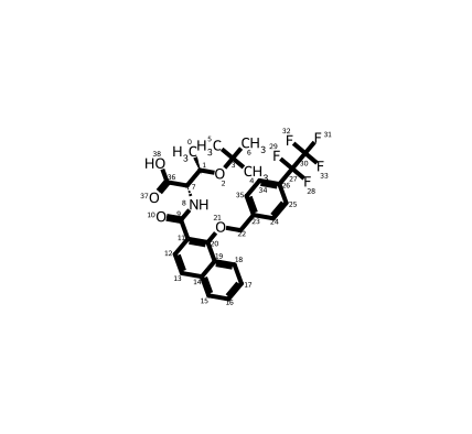 C[C@@H](OC(C)(C)C)[C@H](NC(=O)c1ccc2ccccc2c1OCc1ccc(C(F)(F)C(F)(F)F)cc1)C(=O)O